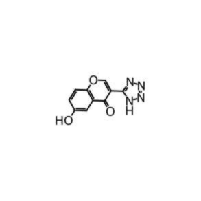 O=c1c(-c2nnn[nH]2)coc2ccc(O)cc12